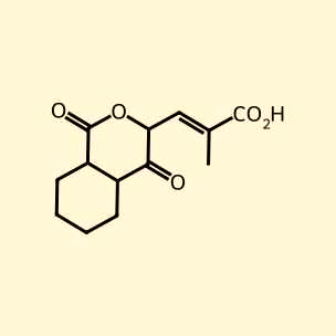 CC(=CC1OC(=O)C2CCCCC2C1=O)C(=O)O